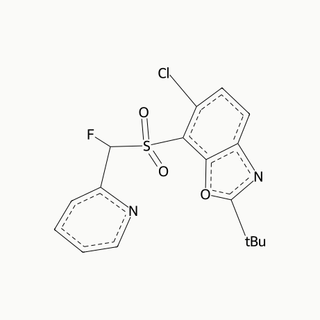 CC(C)(C)c1nc2ccc(Cl)c(S(=O)(=O)C(F)c3ccccn3)c2o1